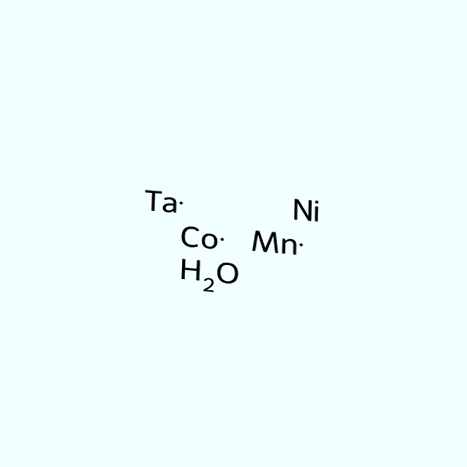 O.[Co].[Mn].[Ni].[Ta]